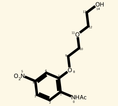 CC(=O)Nc1ccc([N+](=O)[O-])cc1OCCOCCO